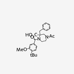 COc1cc(C(=O)N2CCN(C(C)=O)CC2(Cc2ccccc2)C(=O)O)ccc1C(C)(C)C